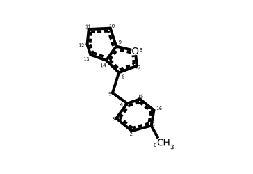 Cc1ccc(Cc2[c]oc3ccccc23)cc1